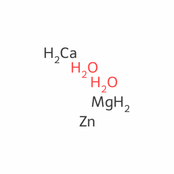 O.O.[CaH2].[MgH2].[Zn]